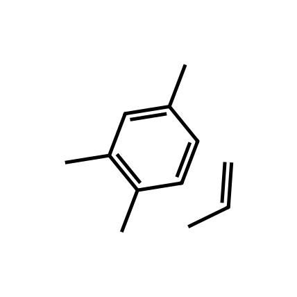 C=CC.Cc1ccc(C)c(C)c1